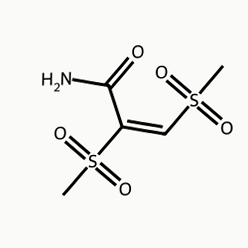 CS(=O)(=O)C=C(C(N)=O)S(C)(=O)=O